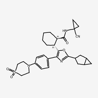 N#CC1(NC(=O)[C@@H]2CCCC[C@H]2c2oc(C3CC4CC4C3)nc2-c2ccc(N3CCS(=O)(=O)CC3)cc2)CC1